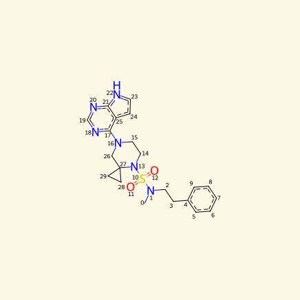 CN(CCc1ccccc1)S(=O)(=O)N1CCN(c2ncnc3[nH]ccc23)CC12CC2